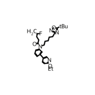 C=C(F)CCC(=O)N(CCCCCc1noc(C(C)(C)C)n1)c1cccc(-c2ccc(OCC)nc2)c1